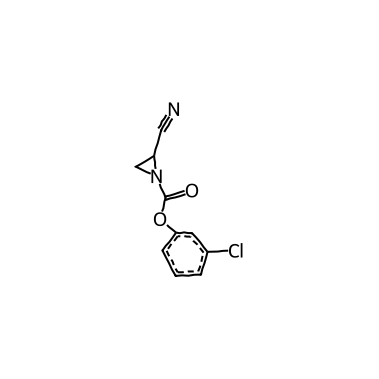 N#CC1CN1C(=O)Oc1cccc(Cl)c1